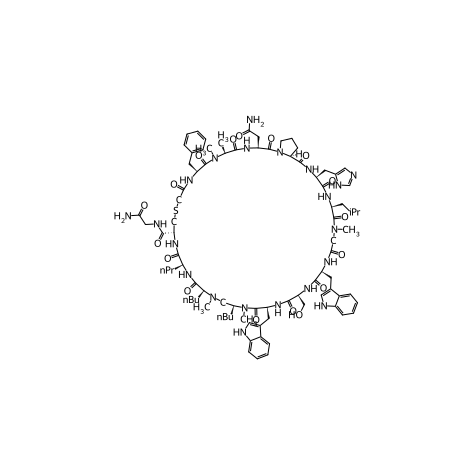 CCCC[C@H]1CN(C)[C@@H](CCCC)C(=O)N[C@@H](CCC)C(=O)N[C@H](C(=O)NCC(N)=O)CSCC(=O)N[C@@H](Cc2ccccc2)C(=O)N(C)[C@@H](C)C(=O)N[C@@H](CC(N)=O)C(=O)N2CCC[C@H]2C(=O)N[C@@H](Cc2cnc[nH]2)C(=O)N[C@@H](CC(C)C)C(=O)N(C)CC(=O)N[C@@H](Cc2c[nH]c3ccccc23)C(=O)N[C@@H](CO)C(=O)N[C@@H](Cc2c[nH]c3ccccc23)C(=O)N1C